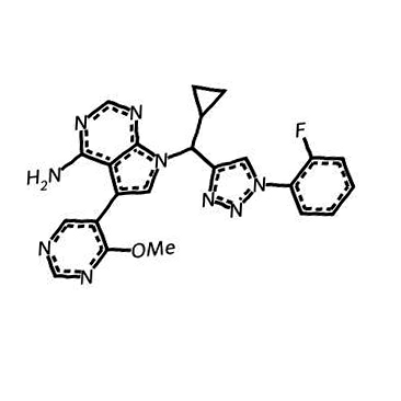 COc1ncncc1-c1cn(C(c2cn(-c3ccccc3F)nn2)C2CC2)c2ncnc(N)c12